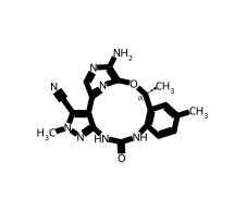 Cc1ccc2c(c1)[C@@H](C)Oc1nc(cnc1N)-c1c(nn(C)c1C#N)NC(=O)N2